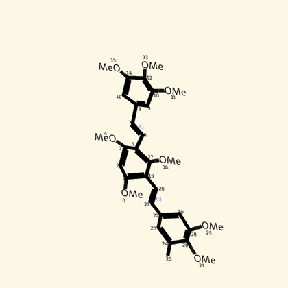 COc1cc(OC)c(/C=C/c2cc(OC)c(OC)c(OC)c2)c(OC)c1/C=C/c1cc(C)c(OC)c(OC)c1